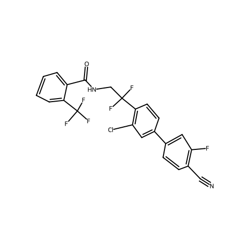 N#Cc1ccc(-c2ccc(C(F)(F)CNC(=O)c3ccccc3C(F)(F)F)c(Cl)c2)cc1F